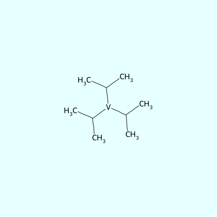 C[CH](C)[V]([CH](C)C)[CH](C)C